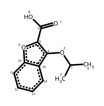 CC(C)Oc1c(C(=O)O)oc2ccccc12